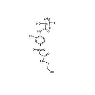 C[C@@](O)(C(=O)Nc1ccc(S(=O)(=O)CC(=O)NCCO)cc1Cl)C(F)(F)F